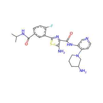 CC(C)NC(=O)c1ccc(F)c(-c2nc(C(=O)Nc3cnccc3N3CCCC(N)C3)c(N)s2)c1